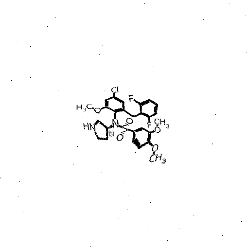 COc1ccc(S(=O)(=O)N(c2c(Cc3c(F)cccc3F)cc(Cl)cc2OC)[C@H]2CCNC2)cc1OC